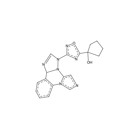 OC1(c2nc(N3C=NC4c5ccccc5-n5cncc5N43)no2)CCCC1